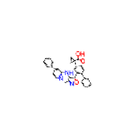 Cc1noc(-c2cc(C3(C(=O)O)CC3)ccc2-c2ccccc2)c1Nc1cc(-c2ccccc2)ccn1